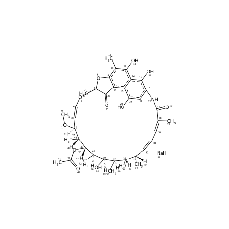 CO[C@H]1/C=C\O[C@@]2(C)Oc3c(C)c(O)c4c(O)c(cc(O)c4c3C2=O)NC(=O)/C(C)=C\C=C/[C@H](C)[C@H](O)[C@@H](C)[C@@H](O)[C@@H](C)[C@H](OC(C)=O)[C@@H]1C.[NaH]